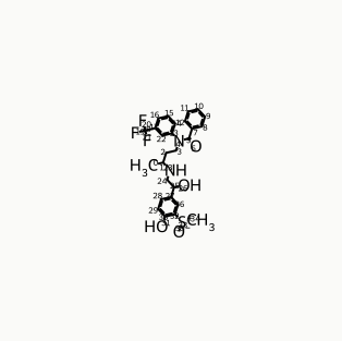 CC(CCN(C(=O)c1ccccc1)c1cccc(C(F)(F)F)c1)NCC(O)c1ccc(O)c([S+](C)[O-])c1